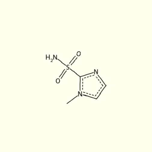 Cn1ccnc1S(N)(=O)=O